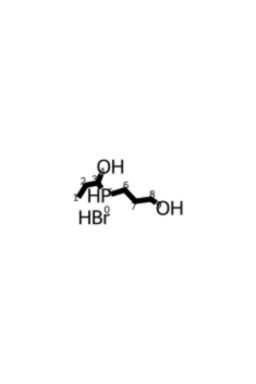 Br.CCC(O)PCCCO